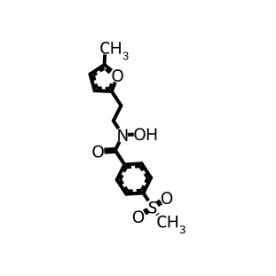 Cc1ccc(CCN(O)C(=O)c2ccc(S(C)(=O)=O)cc2)o1